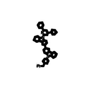 CC(C)Cc1ccc(-n2c3ccccc3c3cc(-c4ccc5c(c4)c4ccccc4n5-c4cc(-c5ccccc5)cc(-c5ccccc5)n4)ccc32)cc1